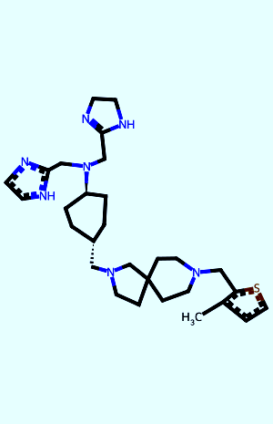 Cc1ccsc1CN1CCC2(CC1)CCN(C[C@H]1CC[C@H](N(CC3=NCCN3)Cc3ncc[nH]3)CC1)C2